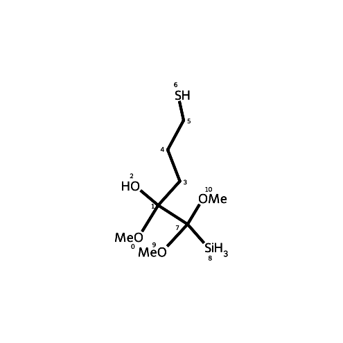 COC(O)(CCCS)C([SiH3])(OC)OC